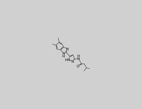 Cc1cc2nc(-c3cc(NC(=O)CC(C)C)n[nH]3)[nH]c2cc1C